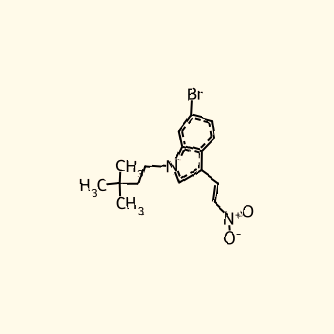 CC(C)(C)CCn1cc(/C=C/[N+](=O)[O-])c2ccc(Br)cc21